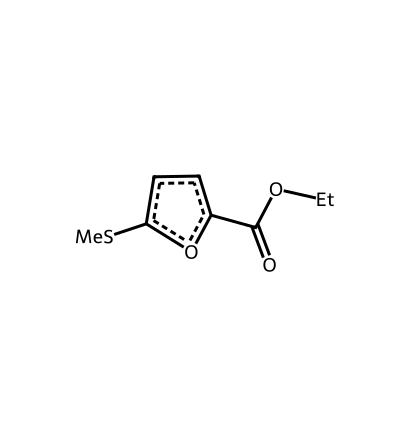 CCOC(=O)c1ccc(SC)o1